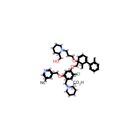 Cc1ccccc1C1=CC=CC(COc2cc(OCc3cncc(C#N)c3)c(CN3CCCC[C@H]3C(=O)O)cc2Cl)(OCCCN2CCCCC2CO)C1C